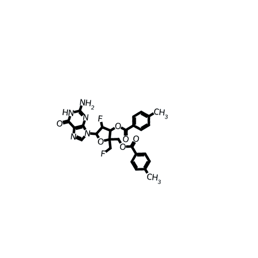 Cc1ccc(C(=O)OCC2(CF)OC(n3cnc4c(=O)[nH]c(N)nc43)C(F)C2OC(=O)c2ccc(C)cc2)cc1